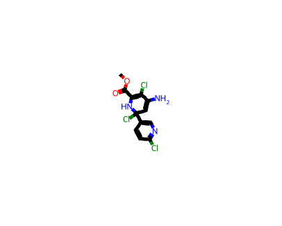 COC(=O)C1=C(Cl)C(N)=CC(Cl)(c2ccc(Cl)nc2)N1